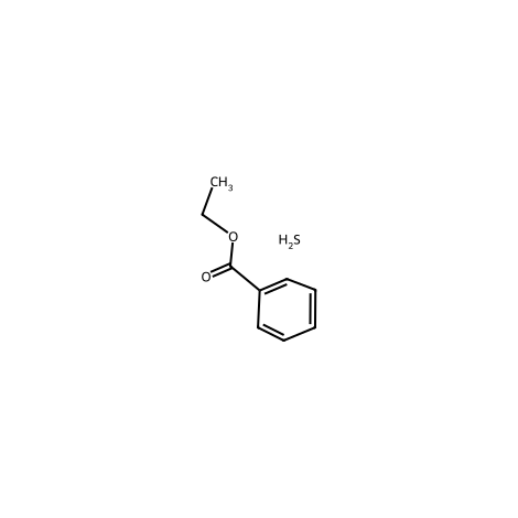 CCOC(=O)c1ccccc1.S